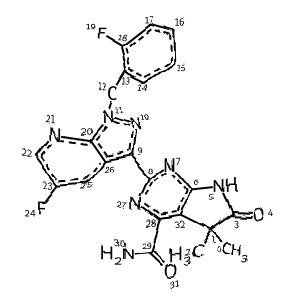 CC1(C)C(=O)Nc2nc(-c3nn(Cc4ccccc4F)c4ncc(F)cc34)nc(C(N)=O)c21